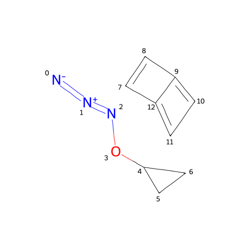 [N-]=[N+]=NOC1CC1.c1cc2ccc1-2